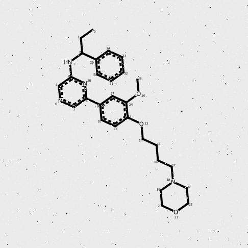 CCC(Nc1cncc(-c2ccc(OCCCCN3CCOCC3)c(OC)c2)n1)c1ccccc1